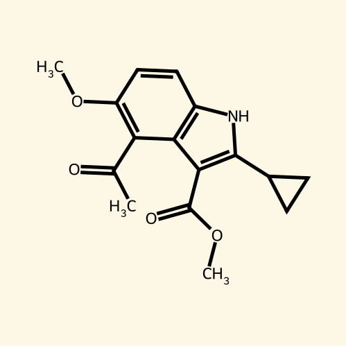 COC(=O)c1c(C2CC2)[nH]c2ccc(OC)c(C(C)=O)c12